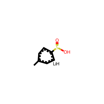 Cc1ccc(S(=O)O)cc1.[LiH]